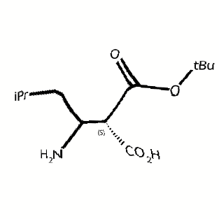 CC(C)CC(N)[C@@H](C(=O)O)C(=O)OC(C)(C)C